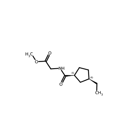 CC[C@@H]1CC[C@H](C(=O)NCC(=O)OC)C1